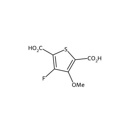 COc1c(C(=O)O)sc(C(=O)O)c1F